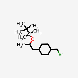 CC(CC1CCC(CBr)CC1)O[Si](C)(C)C(C)(C)C